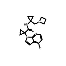 O=C(NC1(CN2CCC2)CC1)C1(n2ccc3c(Cl)ccnc32)CC1